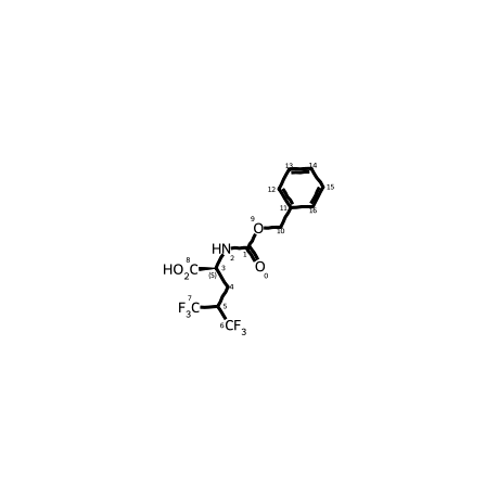 O=C(N[C@@H](CC(C(F)(F)F)C(F)(F)F)C(=O)O)OCc1ccccc1